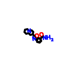 NC(=O)c1cccc2nc(C3CCN4CCCCC4C3)oc12